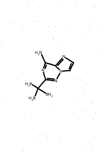 BC(B)(B)c1nc(N)c2nccn2n1